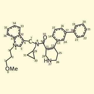 COCCCn1cc(CN(C(=O)C2=C(c3cccc(-c4ccccc4)c3)CCNC2)C2CC2)c2ccccc21